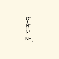 N[N+]#[N+][O-]